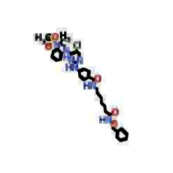 CN(c1ccccc1Nc1nc(Nc2ccc(C(=O)NCCCCCCC(=O)NOCc3ccccc3)cc2)ncc1Cl)S(C)(=O)=O